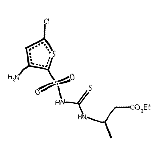 CCOC(=O)CC(C)NC(=S)NS(=O)(=O)c1sc(Cl)cc1N